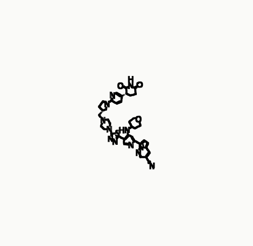 N#Cc1cnn2c(-c3cc(NC4CCOCC4)c(-c4nnc(N5CCN(C[C@H]6CCN(c7ccc([C@H]8CCC(=O)NC8=O)cn7)C6)CC5)s4)cn3)ccc2c1